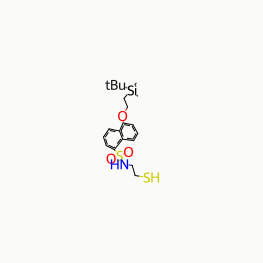 CC(C)(C)[Si](C)(C)CCOc1cccc2c(S(=O)(=O)NCCS)cccc12